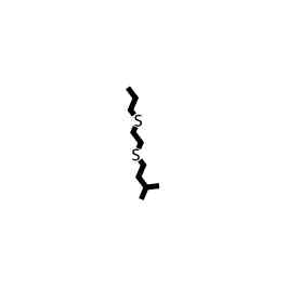 CCCSCCSCCC(C)C